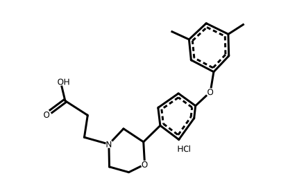 Cc1cc(C)cc(Oc2ccc(C3CN(CCC(=O)O)CCO3)cc2)c1.Cl